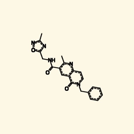 Cc1noc(CNC(=O)c2cc3c(=O)n(Cc4ccccc4)ccc3nc2C)n1